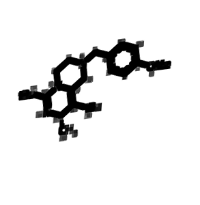 COc1ccc(CN2CCN3C(C(C)(C)C)=N[C@@H](C)C(C(C)(C)C)=C3C2)cc1